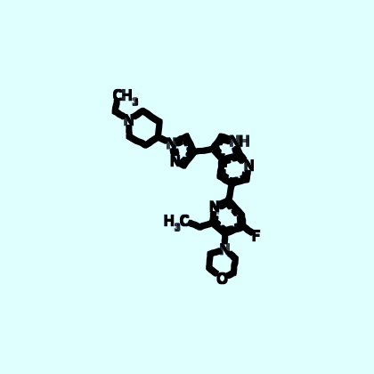 CCc1nc(-c2cnc3[nH]cc(-c4cnn(C5CCN(CC)CC5)c4)c3c2)cc(F)c1N1CCOCC1